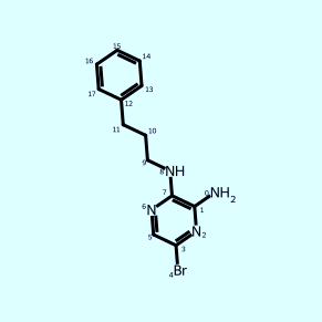 Nc1nc(Br)cnc1NCCCc1ccccc1